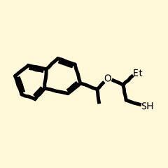 CCC(CS)OC(C)c1ccc2ccccc2c1